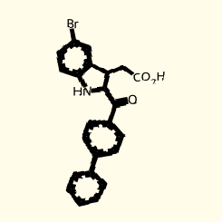 O=C(O)CC1c2cc(Br)ccc2NC1C(=O)c1ccc(-c2ccccc2)cc1